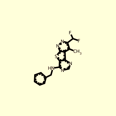 Cc1c(C(F)F)nnc2sc3c(NCc4ccccc4)ncnc3c12